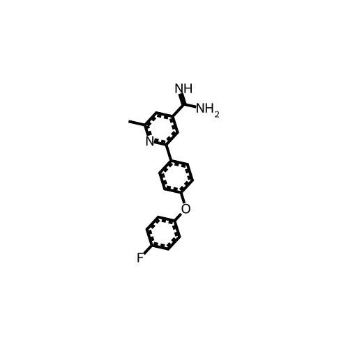 Cc1cc(C(=N)N)cc(-c2ccc(Oc3ccc(F)cc3)cc2)n1